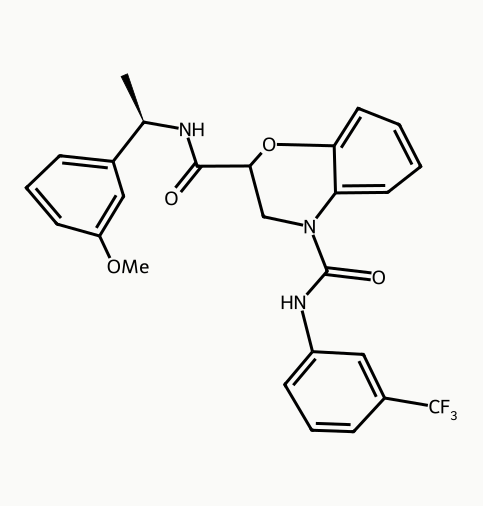 COc1cccc([C@@H](C)NC(=O)C2CN(C(=O)Nc3cccc(C(F)(F)F)c3)c3ccccc3O2)c1